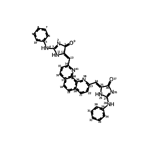 O=C1N=C(Nc2ccccc2)N/C1=C\c1ccc2ccc3ccc(/C=C4\NC(Nc5ccccc5)=NC4=O)nc3c2n1